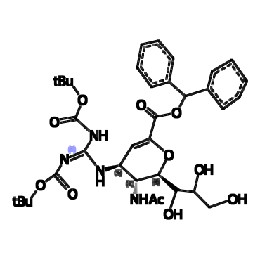 CC(=O)N[C@@H]1[C@@H](N/C(=N\C(=O)OC(C)(C)C)NC(=O)OC(C)(C)C)C=C(C(=O)OC(c2ccccc2)c2ccccc2)O[C@H]1C(O)C(O)CO